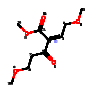 COC/C=C(/C(=O)CCOC)C(=O)OC